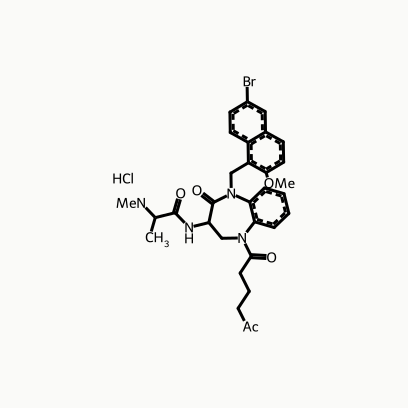 CNC(C)C(=O)NC1CN(C(=O)CCCC(C)=O)c2ccccc2N(Cc2c(OC)ccc3cc(Br)ccc23)C1=O.Cl